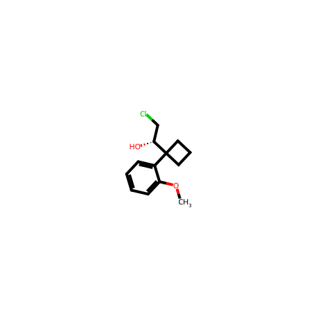 COc1ccccc1C1([C@H](O)CCl)CCC1